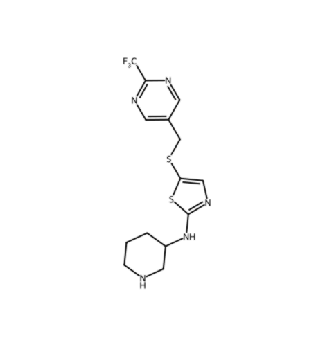 FC(F)(F)c1ncc(CSc2cnc(NC3CCCNC3)s2)cn1